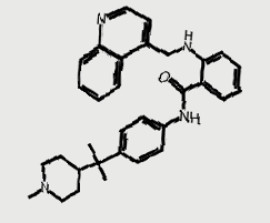 CN1CCC(C(C)(C)c2ccc(NC(=O)c3ccccc3NCc3ccnc4ccccc34)cc2)CC1